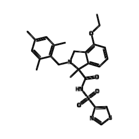 CCOc1cccc2c1CN(Cc1c(C)cc(C)cc1C)C2(C)C(=O)NS(=O)(=O)c1cscn1